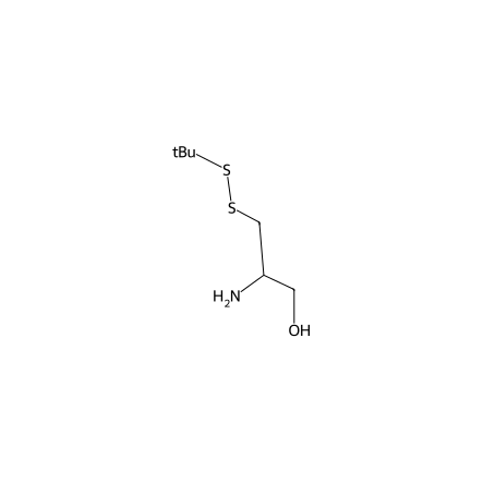 CC(C)(C)SSCC(N)CO